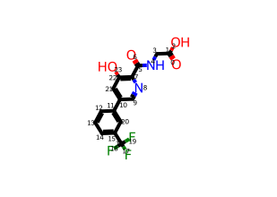 O=C(O)CNC(=O)c1ncc(-c2cccc(C(F)(F)F)c2)cc1O